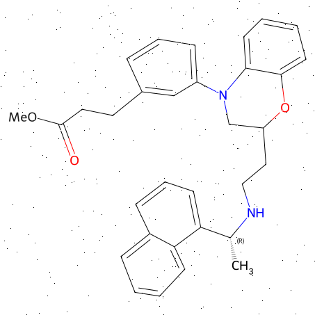 COC(=O)CCc1cccc(N2CC(CCN[C@H](C)c3cccc4ccccc34)Oc3ccccc32)c1